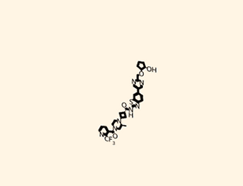 C[C@H]1CN(C(=O)c2cccnc2C(F)(F)F)CCN1[C@H]1C[C@@H](C(=O)Nc2nc3ccc(-c4cnc(CO[C@H]5CCC[C@@H]5O)nc4)cc3s2)C1